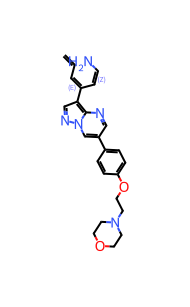 C=C/C=C(\C=C/N)c1cnn2cc(-c3ccc(OCCN4CCOCC4)cc3)cnc12